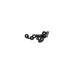 O=C(CC1c2cccn2CCN1S(=O)(=O)c1cccc(Cl)c1Cl)NC1CCc2cc(CN3CCCCC3)ccc2C1